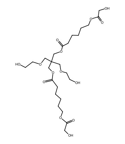 O=C(CO)OCCCCCC(=O)OCC(COCCO)(COCCO)COC(=O)CCCCCOC(=O)CO